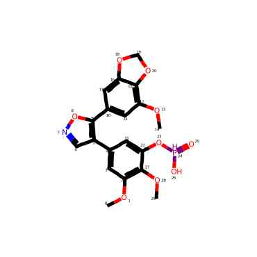 COc1cc(-c2cnoc2-c2cc(OC)c3c(c2)OCO3)cc(O[PH](=O)O)c1OC